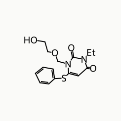 CCn1c(=O)cc(Sc2ccccc2)n(COCCO)c1=O